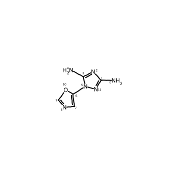 Nc1nc(N)n(-c2cnco2)n1